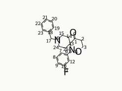 O=C1CCON(c2cccc(F)c2)C12CCN(Cc1ccccc1)CC2